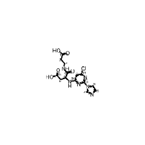 O=C(O)CCNC(=O)C(CC(=O)O)Nc1cc(Cl)nc(-n2ccnc2)n1